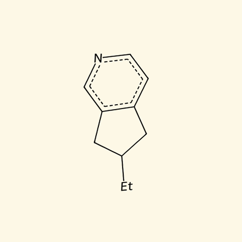 CCC1Cc2ccncc2C1